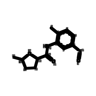 Cc1ccc(N=O)cc1NC(=O)C1CCC(C)O1